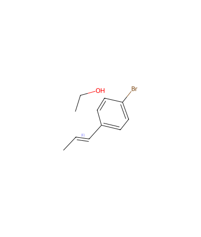 C/C=C/c1ccc(Br)cc1.CCO